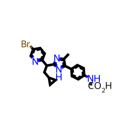 Cc1nc(C(CC2CC2)c2ccc(Br)cn2)[nH]c1-c1ccc(NC(=O)O)cc1